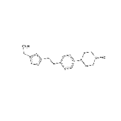 CC(=O)N1CCN(c2ccc(CCc3ccc(CC(=O)O)s3)nc2)CC1